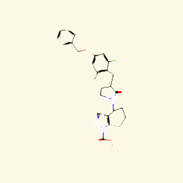 CC(C)(C)OC(=O)n1ncc2c1CCCC2N1CCC(Cc2c(Cl)cc(OCc3ccccc3)cc2Cl)C1=O